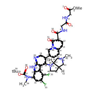 COC(=O)CNC(=O)CNC(=O)c1ccc2ccc(-c3cnc4[nH]c5c(N(C)C(=O)OC(C)(C)C)cc(F)c(F)c5c4c3N3CC[C@H]4CN(C)C[C@H]43)cn2c1=O